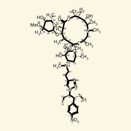 CCS[C@H](c1ccc([N+](=O)[O-])cc1)[C@@H](CF)n1cc(CCN(C)[C@H]2C[C@@H](C)O[C@@H](O[C@@H]3[C@@H](C)[C@H](O[C@H]4C[C@@](C)(OC)[C@@H](O)[C@H](C)O4)[C@@H](C)C(=O)O[C@H](CC)[C@H](P)[C@H](O)[C@@H](C)N(C)C[C@H](C)C[C@@]3(C)O)[C@@H]2O)nn1